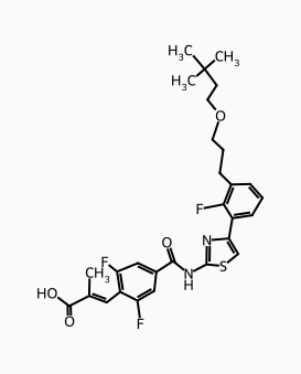 C/C(=C\c1c(F)cc(C(=O)Nc2nc(-c3cccc(CCCOCCC(C)(C)C)c3F)cs2)cc1F)C(=O)O